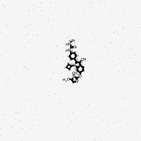 Cc1cnc(Oc2ccc3c(C#N)c(-c4ccc(NC(=O)NC(C)C)cc4)n(C4CCC4)c3c2)n1C